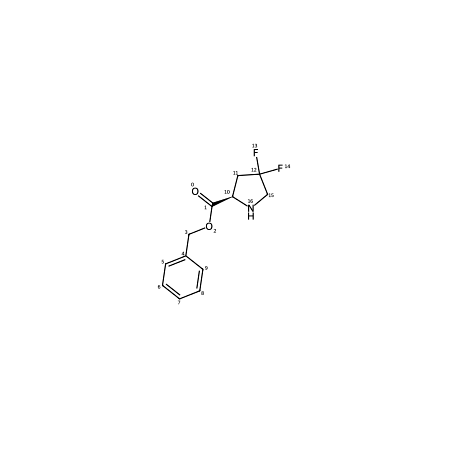 O=C(OCc1ccccc1)[C@H]1CC(F)(F)CN1